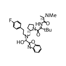 CN[C@@H](C)C(=O)N[C@H](C(=O)N1CCC[C@H]1CN(CCc1ccc(F)cc1)C(O)c1nc2ccccc2o1)C(C)(C)C